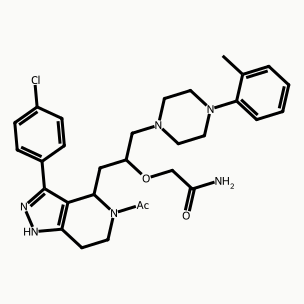 CC(=O)N1CCc2[nH]nc(-c3ccc(Cl)cc3)c2C1CC(CN1CCN(c2ccccc2C)CC1)OCC(N)=O